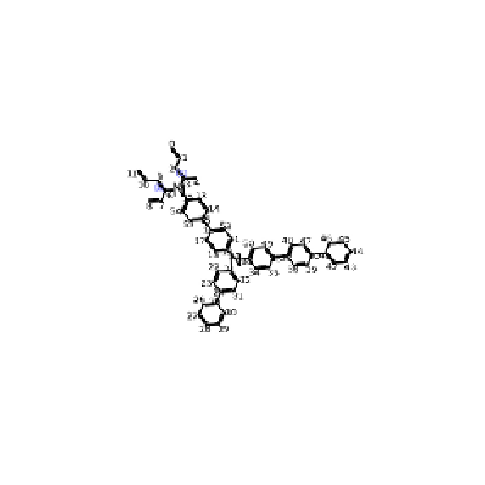 C=C/C=C(\C)N(/C(C=C)=C/C=C)c1ccc(-c2ccc(N(c3ccc(-c4ccccc4)cc3)c3ccc(-c4ccc(-c5ccccc5)cc4)cc3)cc2)cc1